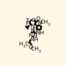 COC[C@@H](C)CNc1ncc(Cl)c(Nc2ccc3c(c2)c2c(c(=O)n3C)OCC(F)(F)[C@H](C3CC3)N2)n1